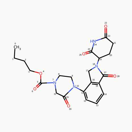 CCCCOC(=O)N1CCN(c2cccc3c2CN(C2CCC(=O)NC2=O)C3=O)C(=O)C1